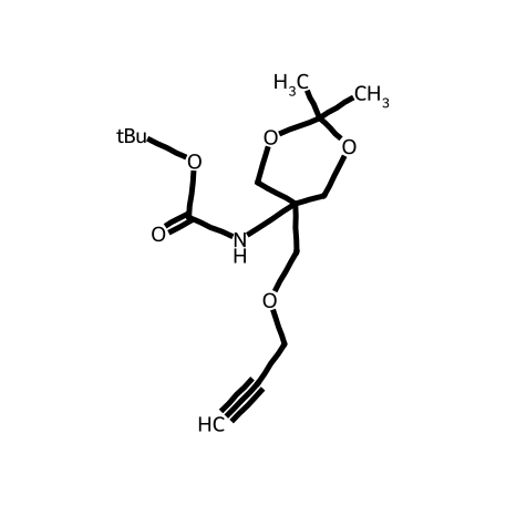 C#CCOCC1(NC(=O)OC(C)(C)C)COC(C)(C)OC1